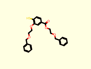 O=C(OCCOCc1ccccc1)c1ccc(S)c(OCCOCc2ccccc2)c1